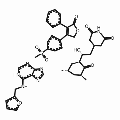 CS(=O)(=O)c1ccc(C2=C(c3ccccc3)C(=O)OC2)cc1.C[C@@H]1C[C@@H]([C@H](O)CC2CC(=O)NC(=O)C2)C(=O)[C@@H](C)C1.c1coc(CNc2[nH]cnc3ncnc2-3)c1